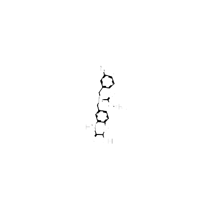 CC1Oc2ccc(CN(Cc3cccc([N+](=O)[O-])c3)C(=O)OC(C)(C)C)cc2NC1=S